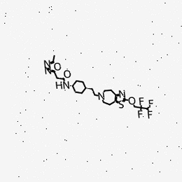 Cc1nnc(CC(=O)N[C@H]2CC[C@H](CCN3CCc4nc(OCC(F)(F)C(F)F)sc4CC3)CC2)o1